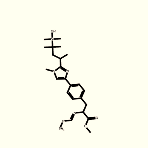 BOC=NC(Cc1ccc(-c2cn(C)c(C(C)CC(C)(C)[Si](C)(C)O)n2)cc1)C(=O)OC